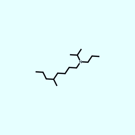 CCCC(C)CCCCN(CCC)C(C)C